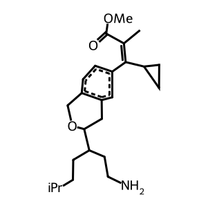 COC(=O)/C(C)=C(\c1ccc2c(c1)CC(C(CCN)CCC(C)C)OC2)C1CC1